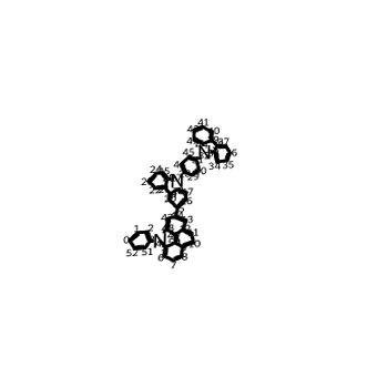 c1ccc(-n2c3cccc4ccc5cc(-c6ccc7c(c6)c6ccccc6n7-c6ccc(-n7c8ccccc8c8ccccc87)cc6)cc2c5c43)cc1